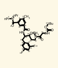 CCCN(CCC)C(=O)c1cc(C)cc(C(=O)NC(Cc2cc(F)cc(F)c2)C(O)CCN(C)C(=O)CNC(=O)OC(C)(C)C)c1